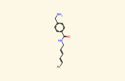 CC(=O)/C=C/C=C/CNC(=O)c1ccc(CN)cc1